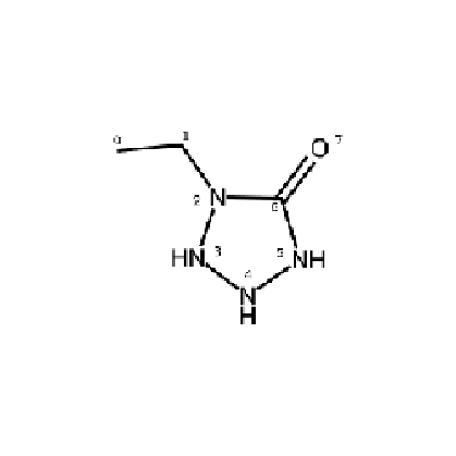 CCN1NNNC1=O